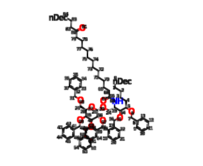 CCCCCCCCCCCCCC[C@@H](OCc1ccccc1)[C@@H](OCc1ccccc1)[C@H](CO[C@H]1O[C@H](COCc2ccccc2)[C@H](OCc2ccccc2)[C@H](OCc2ccccc2)[C@H]1OCc1ccccc1)NC(=O)CCCCCCCCCCCCC(=O)CCCCCCCCCCCC